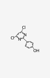 Oc1ccc(-c2nc(Cl)cc(Cl)n2)cc1